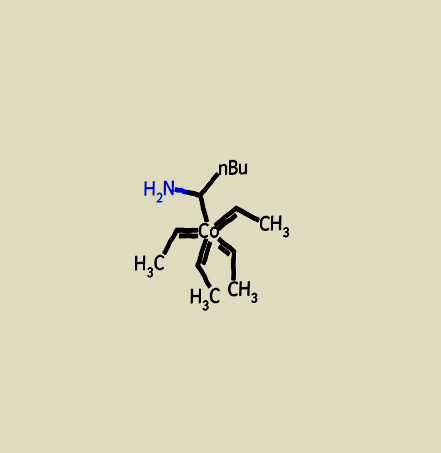 C[CH]=[Co](=[CH]C)(=[CH]C)(=[CH]C)[CH](N)CCCC